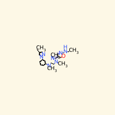 C=N/C(=C(C=O)\C=N/CNCC)N(C)CCN(C)c1cccc(-n2cc(CC)cn2)c1